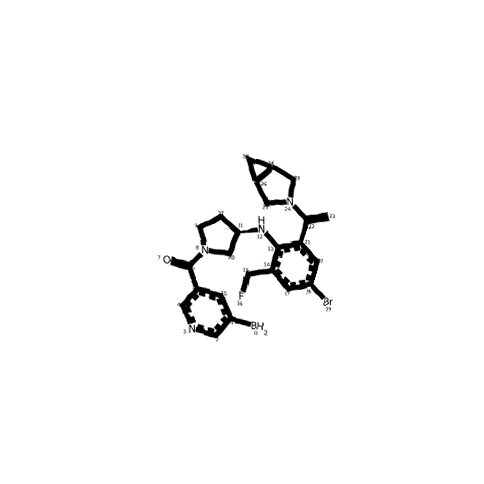 Bc1cncc(C(=O)N2CC[C@@H](Nc3c(CF)cc(Br)cc3C(=C)N3CC4CC4C3)C2)c1